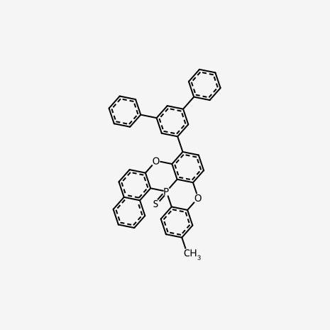 Cc1ccc2c(c1)Oc1ccc(-c3cc(-c4ccccc4)cc(-c4ccccc4)c3)c3c1P2(=S)c1c(ccc2ccccc12)O3